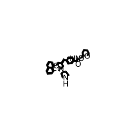 CCN(C/C(=C\c1ccc(C(=O)NOC2CCCCO2)cc1)COc1cccc2ccccc12)C1CCNCC1